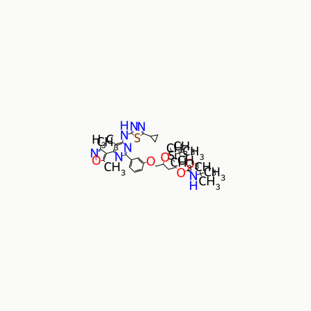 Cc1noc(C)c1-c1nc(-c2cccc(OCC(CCOC(=O)NC(C)(C)C)O[Si](C)(C)C(C)(C)C)c2)nc(Nc2nnc(C3CC3)s2)c1C